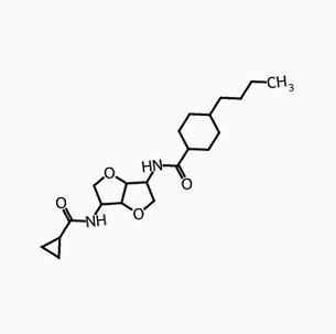 CCCCC1CCC(C(=O)NC2COC3C(NC(=O)C4CC4)COC23)CC1